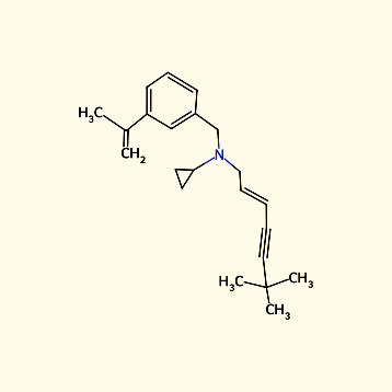 C=C(C)c1cccc(CN(CC=CC#CC(C)(C)C)C2CC2)c1